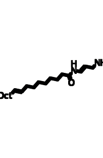 CCCCCCCCC=CCCCCCCCC(=O)NC=CCN